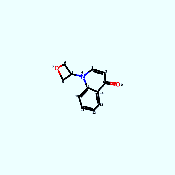 O=c1ccn(C2COC2)c2ccccc12